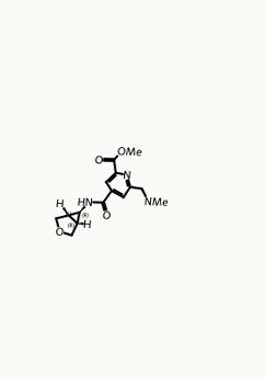 CNCc1cc(C(=O)N[C@H]2[C@@H]3COC[C@@H]32)cc(C(=O)OC)n1